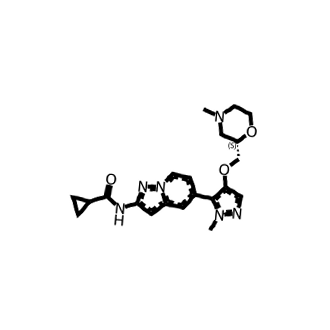 CN1CCO[C@H](COc2cnn(C)c2-c2ccn3nc(NC(=O)C4CC4)cc3c2)C1